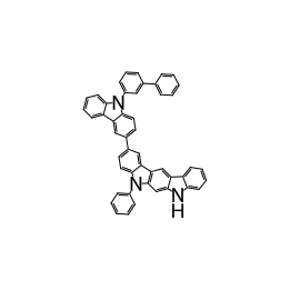 c1ccc(-c2cccc(-n3c4ccccc4c4cc(-c5ccc6c(c5)c5cc7c(cc5n6-c5ccccc5)[nH]c5ccccc57)ccc43)c2)cc1